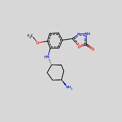 N[C@H]1CC[C@H](Nc2cc(-c3n[nH]c(=O)o3)ccc2OC(F)(F)F)CC1